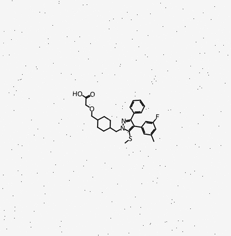 CSc1c(-c2cc(C)cc(F)c2)c(-c2ccccc2)nn1CC1CCC(COCC(=O)O)CC1